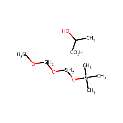 CC(O)C(=O)O.C[Si](C)(C)O[SiH2]O[SiH2]O[SiH3]